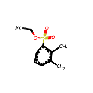 Cc1cccc(S(=O)(=O)OCC#N)c1C